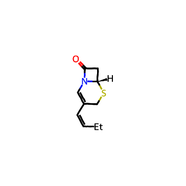 CC/C=C\C1=CN2C(=O)C[C@@H]2SC1